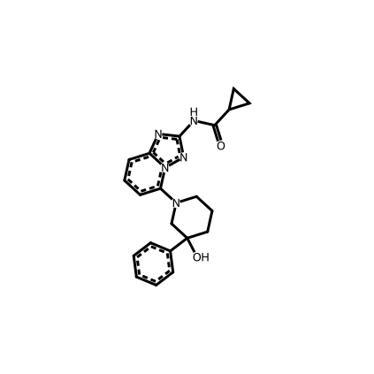 O=C(Nc1nc2cccc(N3CCCC(O)(c4ccccc4)C3)n2n1)C1CC1